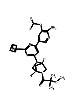 COC(C)(C)C(=O)N1C[C@@H]2C[C@H]1CN2c1cc(-c2cnc(N)c(OC(F)F)c2)nc(N2CC3CC2C3)n1